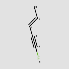 [CH2]C=CC#CF